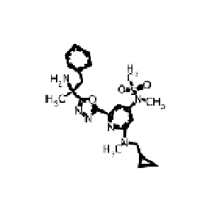 CN(CC1CC1)c1cc(N(C)S(C)(=O)=O)cc(-c2nnc([C@](C)(N)Cc3ccccc3)o2)n1